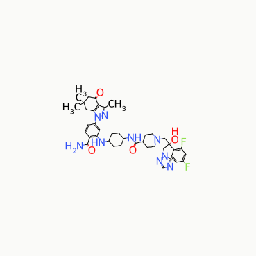 Cc1nn(-c2ccc(C(N)=O)c(NC3CCC(NC(=O)C4CCN(CC(O)(Cn5cncn5)c5ccc(F)cc5F)CC4)CC3)c2)c2c1C(=O)CC(C)(C)C2